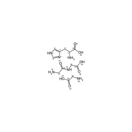 NC(Cc1c[nH]cn1)C(=O)O.NCC(=O)NCC(=O)O.NCC(=O)O